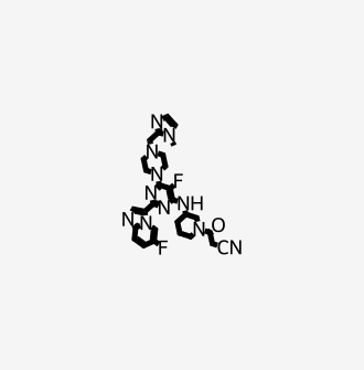 Cn1ccnc1CN1CCN(c2nc(-c3cnc4ccc(F)cn34)nc(NC3CCCN(C(=O)CC#N)C3)c2F)CC1